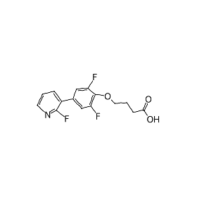 O=C(O)CCCOc1c(F)cc(-c2cccnc2F)cc1F